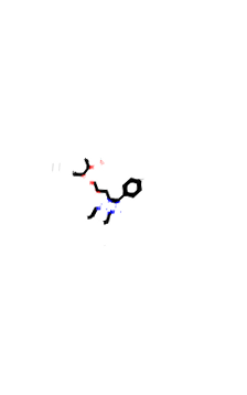 C=Cc1nc(-c2ccc(C)cc2)c(CC(=O)COC(C=C)C(C=C)OC)n1/C=C/C